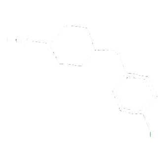 CCOC(=O)C1CCC(Oc2ccc(F)cc2)CC1